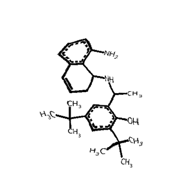 CC(NC1CC=Cc2cccc(N)c21)c1cc(C(C)(C)C)cc(C(C)(C)C)c1O